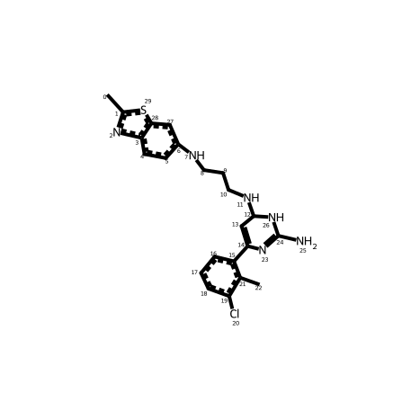 Cc1nc2ccc(NCCCNC3C=C(c4cccc(Cl)c4C)N=C(N)N3)cc2s1